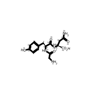 NCC(=O)N[C@@H](Cc1ccc(O)cc1)C(=O)N[C@@H](CC(N)=O)C(=O)O